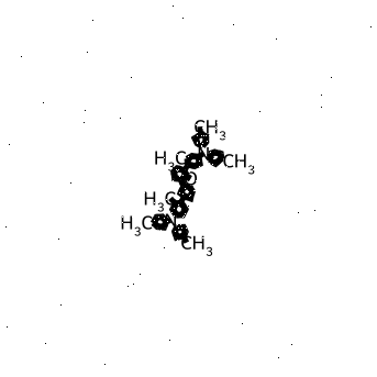 Cc1ccc(N(c2ccc(C)cc2)c2ccc(-c3ccc4oc5c(-c6ccc(N(c7ccc(C)cc7)c7ccc(C)cc7)cc6C)cccc5c4c3)c(C)c2)cc1